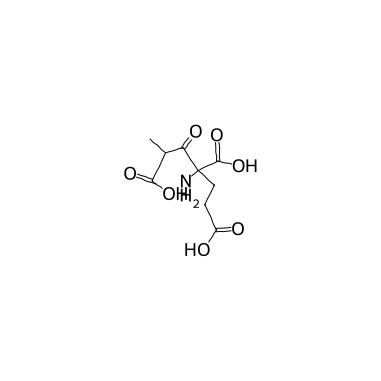 CC(C(=O)O)C(=O)C(N)(CCC(=O)O)C(=O)O